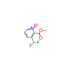 COC(=O)c1c(C(F)F)ccc[n+]1[O-]